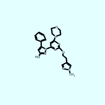 Cn1cc(CCOc2nc(N3CCOCC3)cc(-n3nc(O)cc3-c3ccccc3)n2)cn1